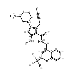 CC#CCn1c(N2CCCC(N)C2)nc(NC)c1C(=O)NCC1=NC(C(F)(F)F)Cc2ccccc21